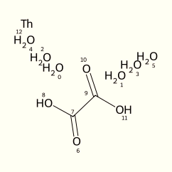 O.O.O.O.O.O.O=C(O)C(=O)O.[Th]